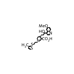 COc1ccc2nccc([C@H](O)CC[C@@H]3CCN(CCCSc4sccc4C)C[C@@H]3C(=O)O)c2c1